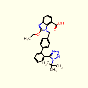 CCOc1nc2cccc(C(=O)O)c2n1Cc1ccc(-c2ccccc2-c2nnnn2C(C)(C)C)cc1